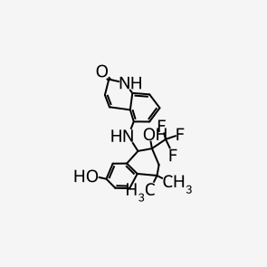 CC1(C)CC(O)(C(F)(F)F)C(Nc2cccc3[nH]c(=O)ccc23)c2cc(O)ccc21